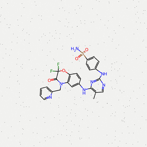 Cc1cnc(Nc2ccc(S(N)(=O)=O)cc2)nc1Nc1ccc2c(c1)N(Cc1ccccn1)C(=O)C(F)(F)O2